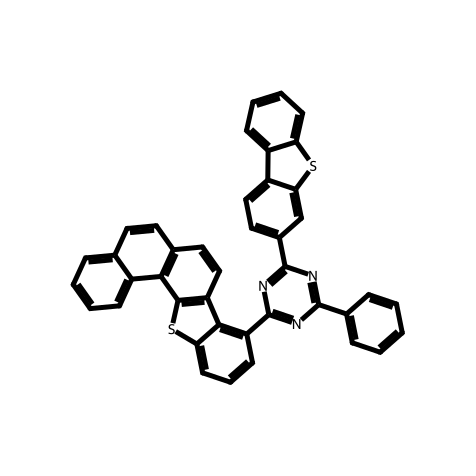 c1ccc(-c2nc(-c3ccc4c(c3)sc3ccccc34)nc(-c3cccc4sc5c(ccc6ccc7ccccc7c65)c34)n2)cc1